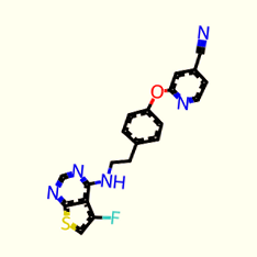 N#Cc1ccnc(Oc2ccc(CCNc3ncnc4scc(F)c34)cc2)c1